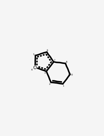 [C]1C=Cc2occc2C1